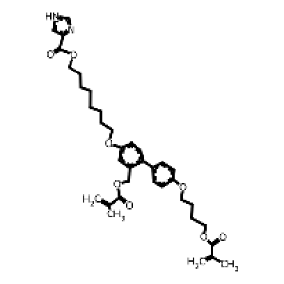 C=C(C)C(=O)OCCCCOc1ccc(-c2ccc(OCCCCCCCCOC(=O)c3c[nH]cn3)cc2COC(=O)C(=C)C)cc1